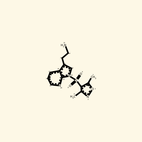 Cc1noc(C)c1S(=O)(=O)n1cc(CCN)c2cccnc21